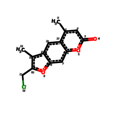 Cc1cc(=O)oc2cc3oc(CCl)c(C)c3cc12